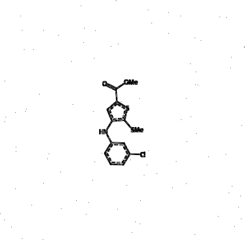 COC(=O)c1cc(Nc2cccc(Cl)c2)c(SC)s1